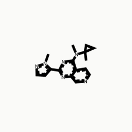 CN(c1nc(-c2ccnn2C)nc2cnccc12)C1(C)CC1